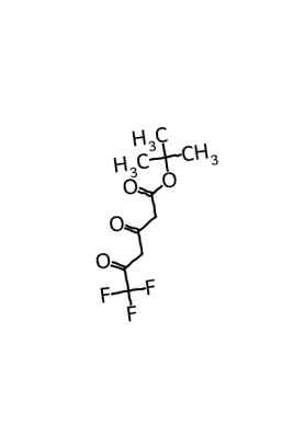 CC(C)(C)OC(=O)CC(=O)CC(=O)C(F)(F)F